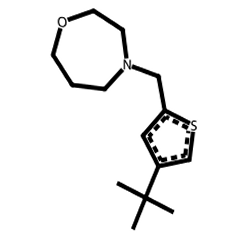 CC(C)(C)c1csc(CN2CCCOCC2)c1